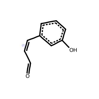 O=C/C=C\c1cccc(O)c1